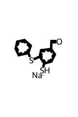 O=Cc1ccc(S)c(Sc2ccccc2)c1.[Na]